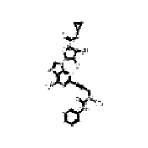 CN(CC#Cc1nc(N)c2ncn([C@@H]3O[C@H](C(=O)NC4CC4)C(O)C3O)c2n1)C(=O)Nc1ccccc1